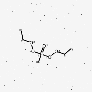 [CH2]P(=O)(OOCC)OOCC